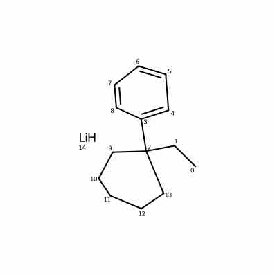 CCC1(c2ccccc2)CCCCC1.[LiH]